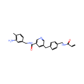 C=CC(=O)NCc1ccc(Cc2cncc(C(=O)NCc3ccc(C)c(N)c3)c2)cc1